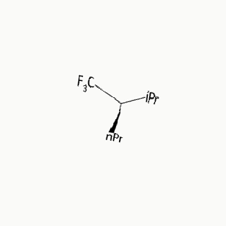 CCC[C@H](C(C)C)C(F)(F)F